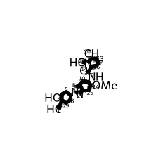 C#C[C@]1(O)CC[C@H](n2cc3cc(NC(=O)c4cccc(C)[n+]4O)c(OC)cc3n2)CC1